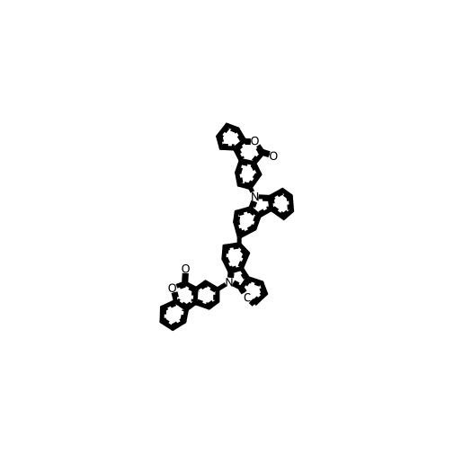 O=c1oc2ccccc2c2ccc(-n3c4ccccc4c4cc(-c5ccc6c(c5)c5ccccc5n6-c5ccc6c(c5)c(=O)oc5ccccc56)ccc43)cc12